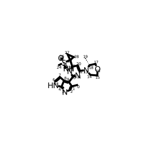 Cc1cnc2[nH]ccc2c1-c1nc(N2CCOC[C@H]2C)cc(C2(S(C)(=N)=O)CC2)n1